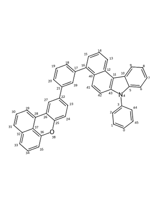 c1ccc(-n2c3ccccc3c3c4cccc(-c5cccc(-c6ccc7c(c6)-c6cccc8cccc(c68)O7)c5)c4ccc32)cc1